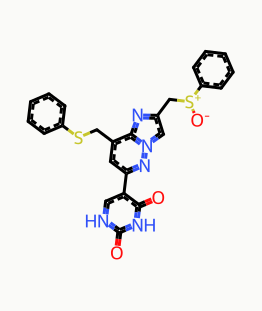 O=c1[nH]cc(-c2cc(CSc3ccccc3)c3nc(C[S+]([O-])c4ccccc4)cn3n2)c(=O)[nH]1